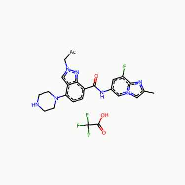 CC(=O)Cn1cc2c(N3CCNCC3)ccc(C(=O)Nc3cc(F)c4nc(C)cn4c3)c2n1.O=C(O)C(F)(F)F